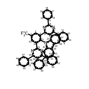 FC(F)(F)c1cc(-c2cc(-c3ccccc3)nc(-c3ccccc3)n2)c(-n2c3ccccc3c3ccc(-c4ccccc4)cc32)c(-c2nc(-c3ccccc3)cc(-c3ccccc3)n2)c1